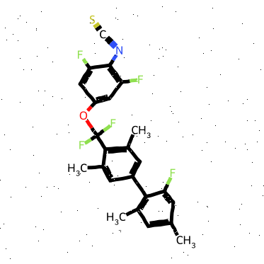 Cc1cc(C)c(-c2cc(C)c(C(F)(F)Oc3cc(F)c(N=C=S)c(F)c3)c(C)c2)c(F)c1